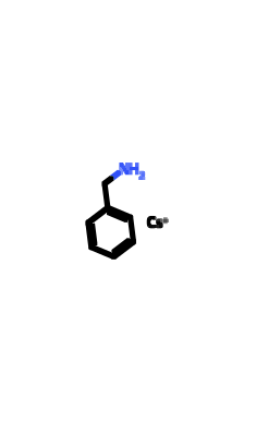 NCc1ccccc1.[Cs+]